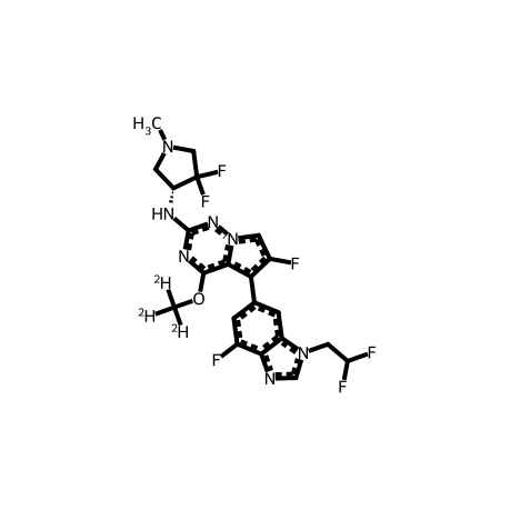 [2H]C([2H])([2H])Oc1nc(N[C@@H]2CN(C)CC2(F)F)nn2cc(F)c(-c3cc(F)c4ncn(CC(F)F)c4c3)c12